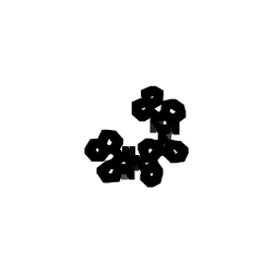 c1ccc2c(-c3nc(-n4c5ccccc5c5c6c7ccccc7n(-c7nc(-c8cccc9ccccc89)c8ccccc8n7)c6ccc54)nc4ccccc34)cccc2c1